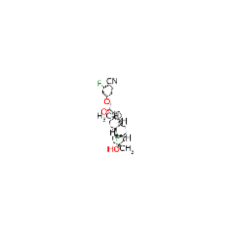 C[C@@]1(O)CC[C@@]2(F)[C@H](CC[C@H]3[C@@H]4CC[C@H](C(=O)COc5ccc(C#N)c(F)c5)[C@@]4(C)CC[C@@H]32)C1